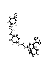 O=C(c1cn(CCCN2CCC(CCOc3ccc(Cl)cc3)CC2)c2ncccc12)C(F)(F)F